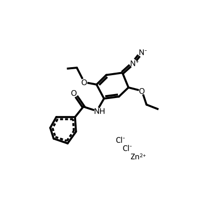 CCOC1=CC(=[N+]=[N-])C(OCC)C=C1NC(=O)c1ccccc1.[Cl-].[Cl-].[Zn+2]